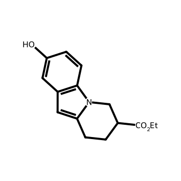 CCOC(=O)C1CCc2cc3cc(O)ccc3n2C1